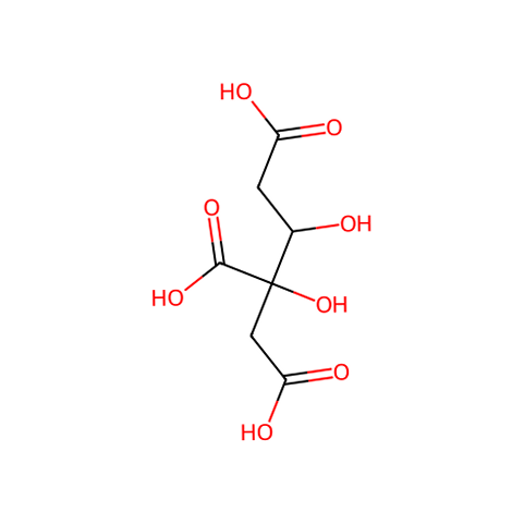 O=C(O)CC(O)C(O)(CC(=O)O)C(=O)O